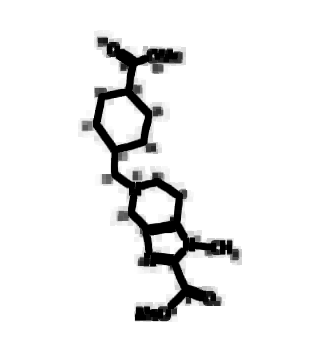 COC(=O)c1nc2c(n1C)CCN(CC1CCC(C(=O)OC)CC1)C2